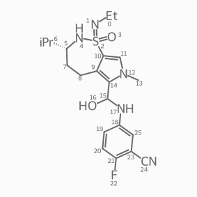 CCN=S1(=O)N[C@@H](C(C)C)CCc2c1cn(C)c2C(O)Nc1ccc(F)c(C#N)c1